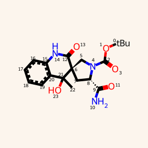 CC(C)(C)OC(=O)N1C[C@]2(C[C@H]1C(N)=O)C(=O)Nc1ccccc1C2(C)O